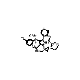 COc1c(Cl)cccc1Nc1c(-c2ccncc2OC[C@H]2COCCO2)[nH]c2c1C(=O)NCC21CC1